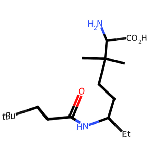 CCC(CCC(C)(C)C(N)C(=O)O)NC(=O)CCC(C)(C)C